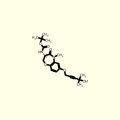 CN1C(=O)[C@@H](NC(=O)OC(C)(C)C)COc2ccc(OCC#CC(C)(C)O)cc21